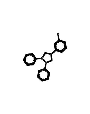 Clc1cccc(N2CN(c3ccccc3)N(c3ccccc3)C2)c1